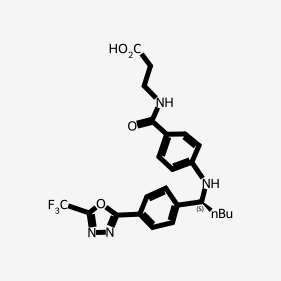 CCCC[C@H](Nc1ccc(C(=O)NCCC(=O)O)cc1)c1ccc(-c2nnc(C(F)(F)F)o2)cc1